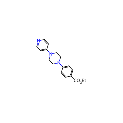 CCOC(=O)c1ccc(N2CCN(c3ccncc3)CC2)cc1